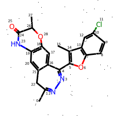 CC1=NN=C(c2oc3ccc(Cl)cc3c2C)c2cc3c(cc2C1)NC(=O)C(C)O3